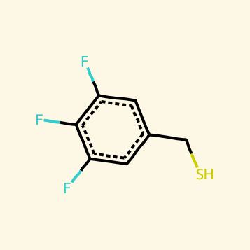 Fc1cc(CS)cc(F)c1F